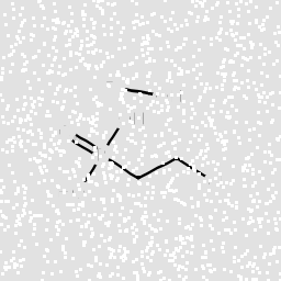 CCO.O=P(O)(O)CCCl